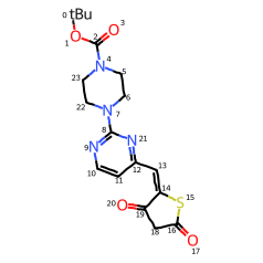 CC(C)(C)OC(=O)N1CCN(c2nccc(C=C3SC(=O)CC3=O)n2)CC1